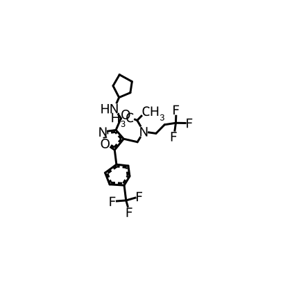 CC(C)N(CCC(F)(F)F)Cc1c(C(=O)NC2CCCC2)noc1-c1ccc(C(F)(F)F)cc1